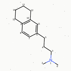 CN(C)CCCc1ccc2c(c1)CCCC2